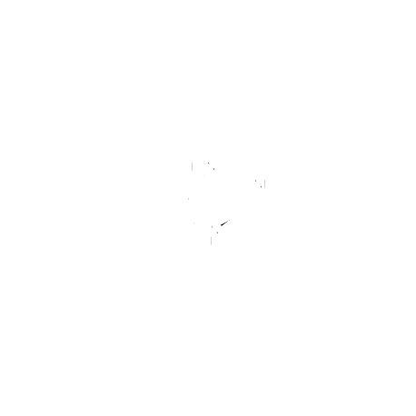 NC1NC[C@H]1NC(=O)C(=O)O